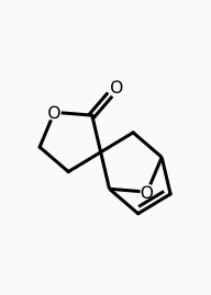 O=C1OCCC12CC1C=CC2O1